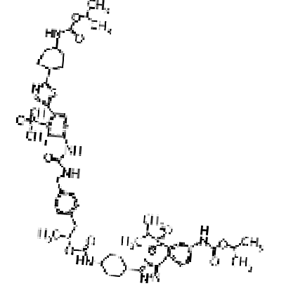 CC(C)OC(=O)Nc1ccc(-c2nnc(C3CCC(NC(=O)OC(C)Cc4ccc(CNC(=O)Nc5ccc(-c6cnc(C7CCC(NC(=O)OC(C)C)CC7)s6)c(P(C)(C)=O)c5)cc4)CC3)s2)c(S(=O)(=O)C(C)C)c1